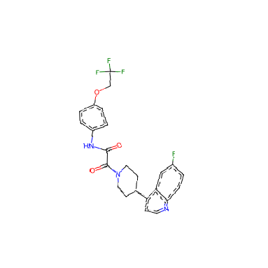 O=C(Nc1ccc(OCC(F)(F)F)cc1)C(=O)N1CCC(c2ccnc3ccc(F)cc23)CC1